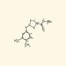 Cc1cc(CC2CCN(C(=O)OC(C)(C)C)C2)cnc1C